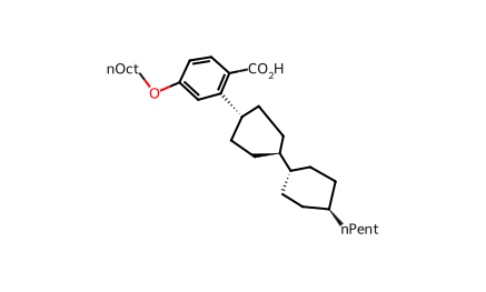 CCCCCCCCOc1ccc(C(=O)O)c([C@H]2CC[C@H]([C@H]3CC[C@H](CCCCC)CC3)CC2)c1